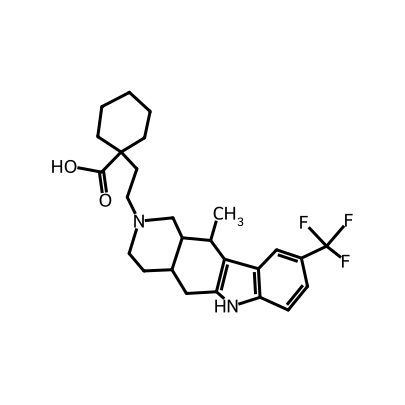 CC1c2c([nH]c3ccc(C(F)(F)F)cc23)CC2CCN(CCC3(C(=O)O)CCCCC3)CC21